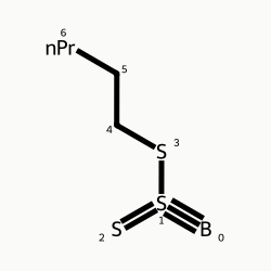 B#S(=S)SCCCCC